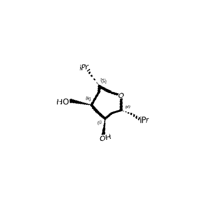 CC(C)[C@H]1O[C@@H](C(C)C)[C@H](O)[C@@H]1O